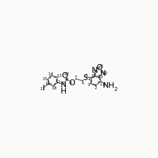 Nc1ccc(SCCOC(=O)Nc2cccc(I)c2)c2nonc12